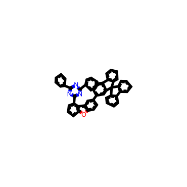 c1ccc(-c2nc(-c3ccccc3)nc(-c3cccc4oc5ccc(-c6ccc7c(c6)C6(c8ccccc8-c8ccccc86)c6ccccc6-7)cc5c34)n2)cc1